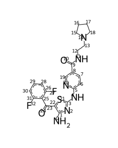 Nc1nc(Nc2ccc(C(=O)NCCN3CCCC3)cn2)sc1C(=O)c1c(F)cccc1F